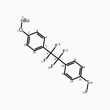 CCCCOc1ccc(C(F)(F)C(F)(F)c2ccc(SF)cc2)cc1